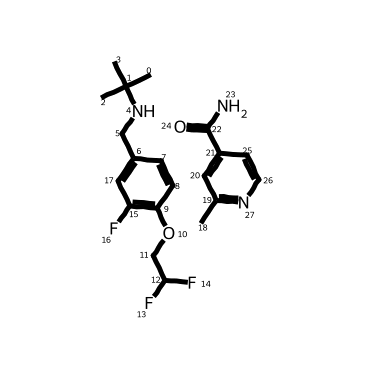 CC(C)(C)NCc1ccc(OCC(F)F)c(F)c1.Cc1cc(C(N)=O)ccn1